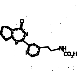 O=C(O)NCCc1ccnc(-c2nc(=O)c3ccccc3s2)c1